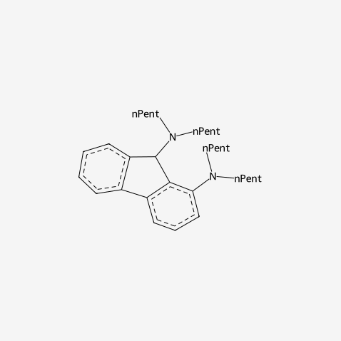 CCCCCN(CCCCC)c1cccc2c1C(N(CCCCC)CCCCC)c1ccccc1-2